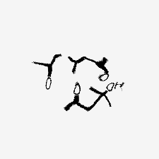 CC(=O)C=C(C)C.CC(=O)CC(C)(C)O.CC(C)=O